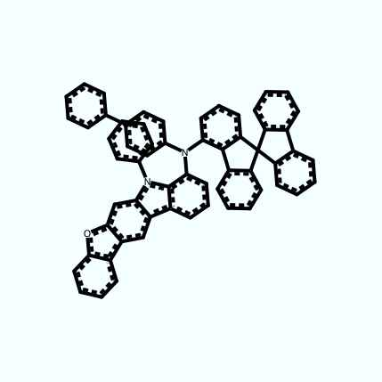 c1ccc(-c2ccc(N(c3cccc4c3-c3ccccc3C43c4ccccc4-c4ccccc43)c3cccc4c5cc6c(cc5n(-c5ccccc5)c34)oc3ccccc36)cc2)cc1